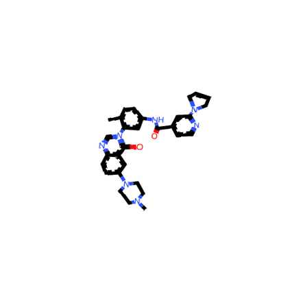 Cc1ccc(NC(=O)c2ccnc(N3CC=CC3)c2)cc1-n1cnc2ccc(N3CCN(C)CC3)cc2c1=O